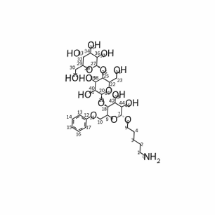 NCCCCCO[C@@H]1OC(COc2ccccc2)[C@@H](O[C@@H]2OC(CO)[C@H](O[C@H]3OC(CO)[C@H](O)C(O)C3O)C(O)C2O)C(O)C1O